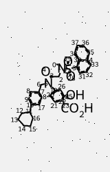 CN(CC(=O)N(Cc1ccc(C2CCCCC2)cc1)c1ccc(C(=O)O)c(O)c1)S(=O)(=O)c1cccc2ccccc12